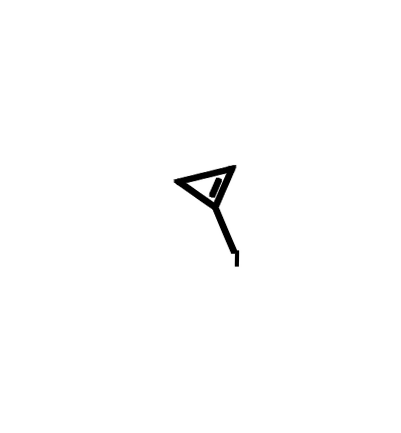 IC1=CC1